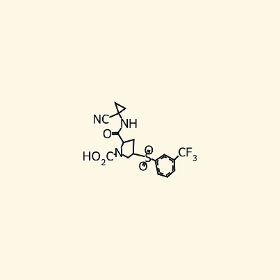 N#CC1(NC(=O)C2CC(S(=O)(=O)c3cccc(C(F)(F)F)c3)CN2C(=O)O)CC1